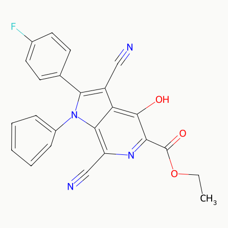 CCOC(=O)c1nc(C#N)c2c(c1O)c(C#N)c(-c1ccc(F)cc1)n2-c1ccccc1